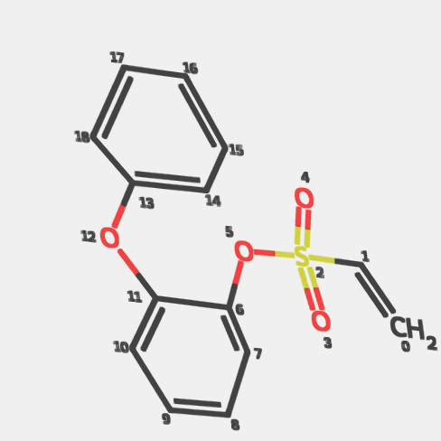 C=CS(=O)(=O)Oc1ccccc1Oc1ccccc1